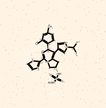 CC(=O)NS(=O)(=O)N[C@H]1CC2=C(c3cnn(C(F)F)c3)[C@H](c3ccc(C)cc3Cl)N=C(c3nccs3)N2C1